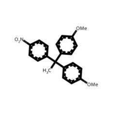 COc1ccc(C(C)(c2ccc(OC)cc2)c2ccc([N+](=O)[O-])cc2)cc1